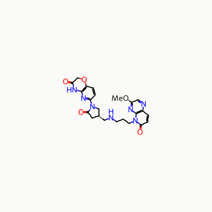 COc1cnc2ccc(=O)n(CCCNC[C@H]3CC(=O)N(c4ccc5c(n4)NC(=O)CO5)C3)c2n1